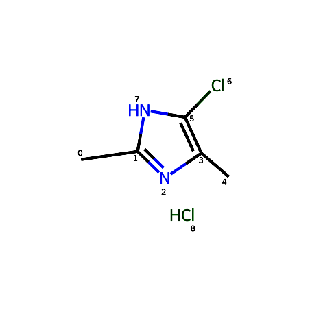 Cc1nc(C)c(Cl)[nH]1.Cl